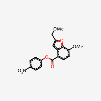 COCc1cc2c(C(=O)Oc3ccc([N+](=O)[O-])cc3)ccc(OC)c2o1